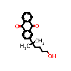 CC(C)(CCCCO)c1ccc2c(c1)C(=O)c1ccccc1C2=O